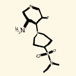 CN(C)S(=O)(=O)C1CCN(C2C(F)C=NCC2N)CC1